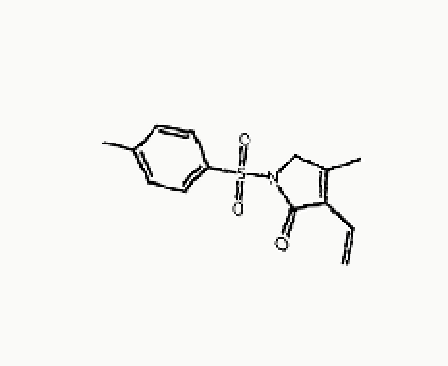 C=CC1=C(C)CN(S(=O)(=O)c2ccc(C)cc2)C1=O